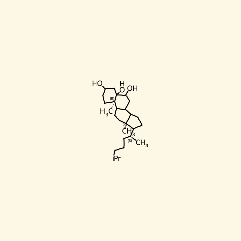 CC(C)CCC[C@H](C)C1CCC2C3CC(O)C4(O)CC(O)CC[C@]4(C)C3CC[C@@]21C